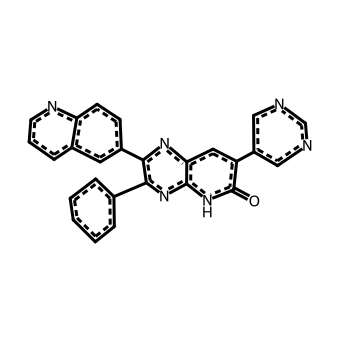 O=c1[nH]c2nc(-c3ccccc3)c(-c3ccc4ncccc4c3)nc2cc1-c1cncnc1